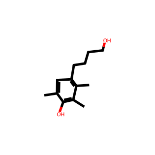 Cc1cc(CCCCO)c(C)c(C)c1O